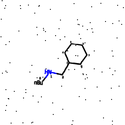 [CH2]CCCNCC1CCCCC1